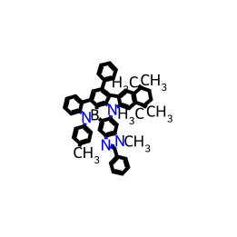 Cc1ccc(N2B3c4cc5nc(-c6ccccc6)n(C)c5cc4-n4c5cc6c(cc5c5c(-c7ccccc7)cc(c3c54)-c3ccccc32)C(C)(C)CCC6(C)C)cc1